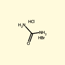 Br.Cl.NC(N)=O